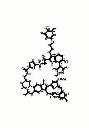 COC1=CC(c2[nH]c3ccc(CC(C)N4CCC(CNC(=O)c5ccc(S(=O)(=O)NC(=O)c6[nH]c7c(-c8c(C)nn(C)c8C)c(Cl)ccc7c6CCCOc6cc(C)c(Cl)c(C)c6)o5)CC4)cc3c2CNNN)=N/C1=C\c1[nH]c(C)cc1C